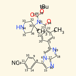 Cc1cc(-c2cn3c(-c4ccc(C#N)cc4)cnc3cn2)ccc1C(=O)N(C(=O)OC(C)(C)C)C1(C)CCNCC1